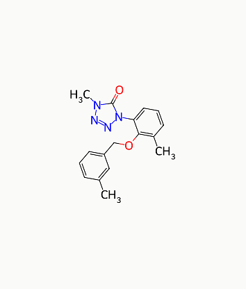 Cc1cccc(COc2c(C)cccc2-n2nnn(C)c2=O)c1